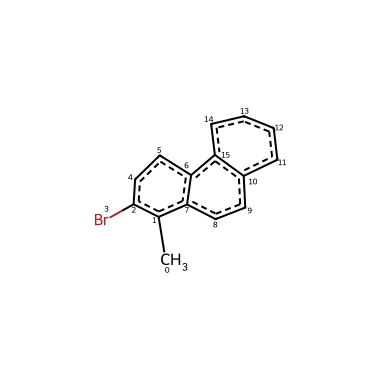 Cc1c(Br)ccc2c1ccc1ccccc12